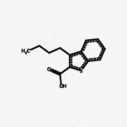 CCCCc1c(C(=O)O)sc2ccccc12